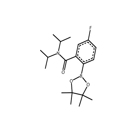 CC(C)N(C(=O)c1cc(F)ccc1B1OC(C)(C)C(C)(C)O1)C(C)C